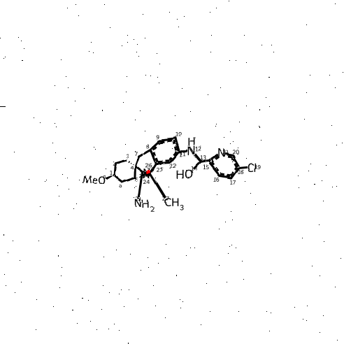 CO[C@H]1CC[C@]2(CC1)Cc1ccc(NC(O)c3ccc(Cl)cn3)cc1C21N=C(C)C(N)=N1